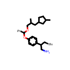 CC1CCC(CC(C)COC(Oc2ccc(C(CN)CC(C)(C)C)cc2)C(C)C)C1